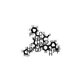 CCC(C)[C@H](NC(=O)Cc1ccccc1F)C(=O)N[C@]1(C(=O)NC(C(=O)NCN2CCCC2)[C@@H](C)CC)CCc2[nH]c3c(C(F)(F)F)cccc3c2C1